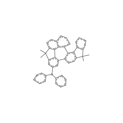 CC1(C)c2ccccc2-c2c1ccc1c2-c2cccc3ccc4c(c23)-c2c-1cc(N(c1ccccc1)c1ccccc1)cc2C4(C)C